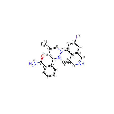 CON1C(c2ccccc2C(N)=O)=CC(C(F)(F)F)=CN1c1cc(I)cc2c1CCNC2